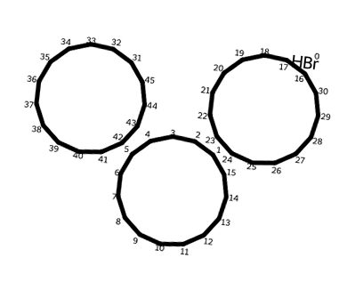 Br.C1CCCCCCCCCCCCCC1.C1CCCCCCCCCCCCCC1.C1CCCCCCCCCCCCCC1